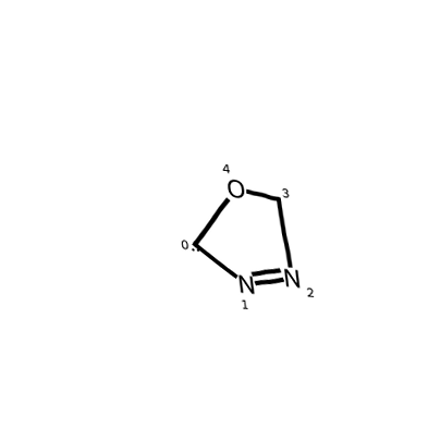 [C]1N=NCO1